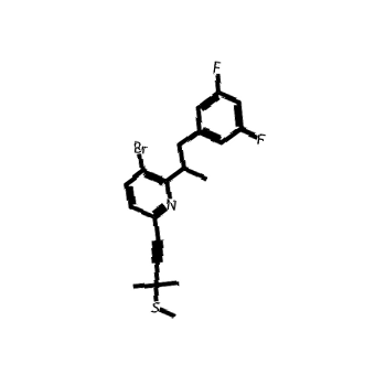 CSC(C)(C)C#Cc1ccc(Br)c(C(C)Cc2cc(F)cc(F)c2)n1